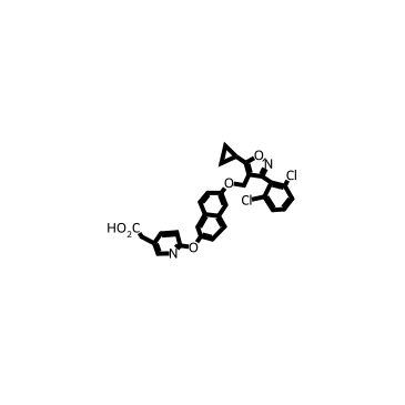 O=C(O)Cc1ccc(Oc2ccc3cc(OCc4c(-c5c(Cl)cccc5Cl)noc4C4CC4)ccc3c2)nc1